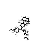 C=CC(=O)N1C[C@H](C)N(c2nc(NC(=O)CN(C)C)nc3c(F)c(-c4c(C)ccc5cnn(C)c45)c(C)cc23)C[C@H]1C